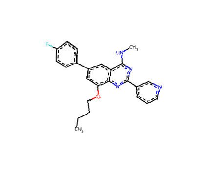 CCCCOc1cc(-c2ccc(F)cc2)cc2c(NC)nc(-c3cccnc3)nc12